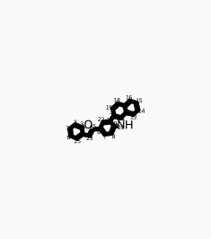 c1ccc2oc(-c3ccc4[nH]c5c6ccccc6ccc5c4c3)cc2c1